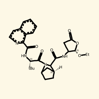 CCO[C@H]1OC(=O)CC1NC(=O)C1[C@H]2CCC(C2)N1C(=O)[C@@H](NC(=O)c1nccc2ccccc12)C(C)(C)C